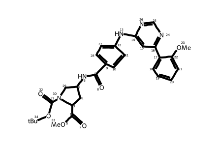 COC(=O)C1CC(NC(=O)c2ccc(Nc3cc(-c4ccccc4OC)ncn3)cc2)CN1C(=O)OC(C)(C)C